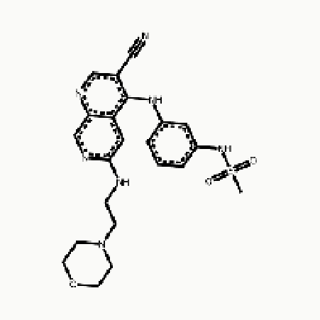 CS(=O)(=O)Nc1cccc(Nc2c(C#N)cnc3cnc(NCCN4CCOCC4)cc23)c1